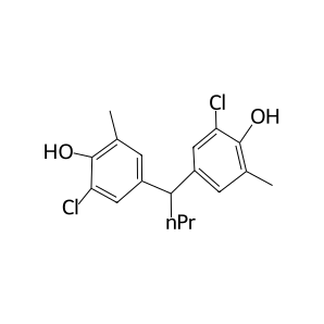 CCCC(c1cc(C)c(O)c(Cl)c1)c1cc(C)c(O)c(Cl)c1